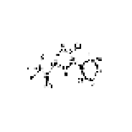 CC(C)(C)C(=O)c1ccc(Cl)c(-c2ccccc2)c1